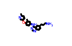 Cc1ccc(Oc2ccc(Nc3ncnc4ccc(C=CCN)cc34)cc2C)cn1